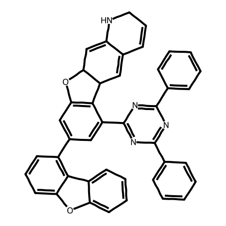 C1=CC2=CC3c4c(cc(-c5cccc6oc7ccccc7c56)cc4-c4nc(-c5ccccc5)nc(-c5ccccc5)n4)OC3C=C2NC1